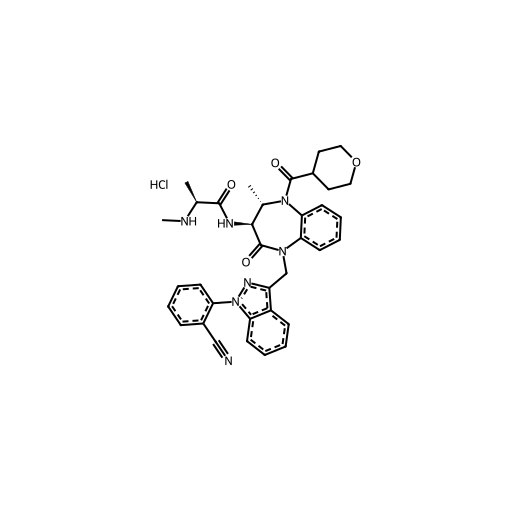 CN[C@@H](C)C(=O)N[C@@H]1C(=O)N(Cc2nn(-c3ccccc3C#N)c3ccccc23)c2ccccc2N(C(=O)C2CCOCC2)[C@H]1C.Cl